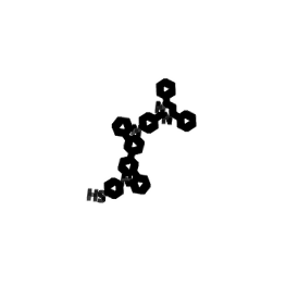 Sc1ccc(-n2c3ccccc3c3cc(-c4ccc5c(c4)c4ccccc4n5-c4ccc(-c5nc(-c6ccccc6)cc(-c6ccccc6)n5)cc4)ccc32)cc1